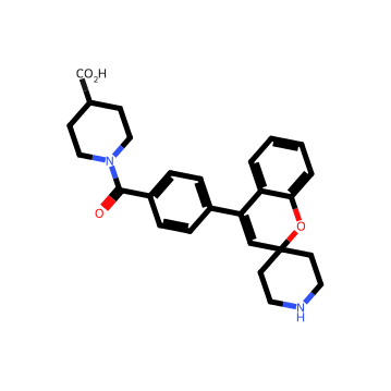 O=C(O)C1CCN(C(=O)c2ccc(C3=CC4(CCNCC4)Oc4ccccc43)cc2)CC1